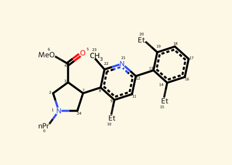 CCCN1CC(C(=O)OC)C(c2c(CC)cc(-c3c(CC)cccc3CC)nc2C)C1